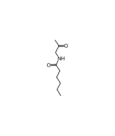 CCCCCC(=O)NCC(C)=O